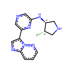 F[C@H]1CNC[C@@H]1Nc1cncc(-c2cnc3cccnn23)n1